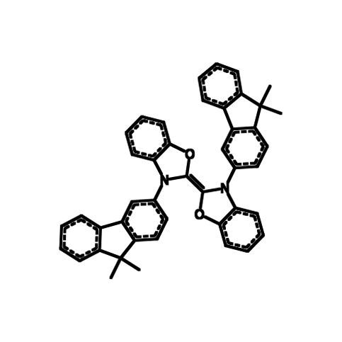 CC1(C)c2ccccc2-c2cc(N3/C(=C4\Oc5ccccc5N4c4ccc5c(c4)-c4ccccc4C5(C)C)Oc4ccccc43)ccc21